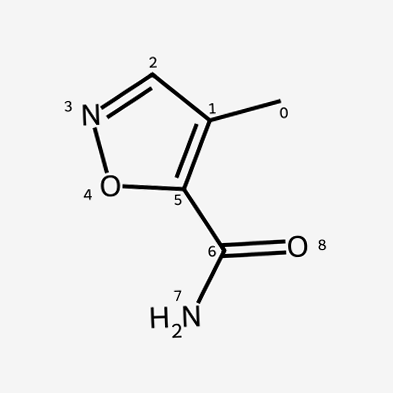 Cc1cnoc1C(N)=O